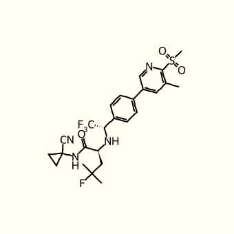 Cc1cc(-c2ccc([C@H](N[C@@H](CC(C)(C)F)C(=O)NC3(C#N)CC3)C(F)(F)F)cc2)cnc1S(C)(=O)=O